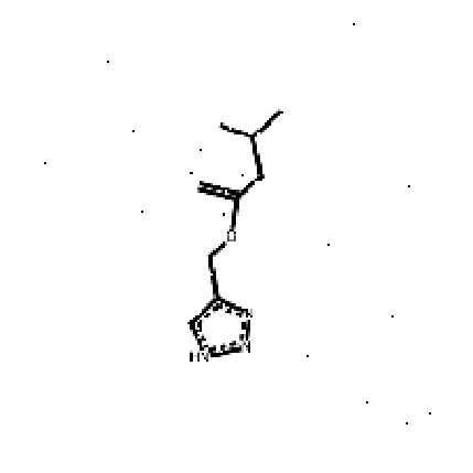 C=C(CC(C)C)OCc1c[nH]nn1